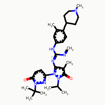 C=N/C(=N\c1c(C)c(=O)n(C(C)C)n1-c1ccc(=O)n(C(C)(C)C)n1)Nc1ccc(C2CCN(C)CC2)c(C)c1